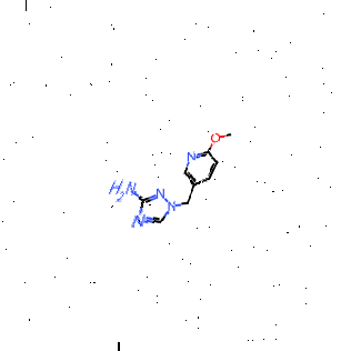 COc1ccc(Cn2cnc(N)n2)cn1